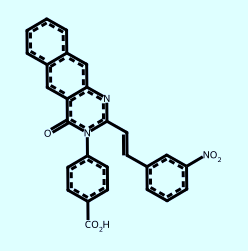 O=C(O)c1ccc(-n2c(/C=C/c3cccc([N+](=O)[O-])c3)nc3cc4ccccc4cc3c2=O)cc1